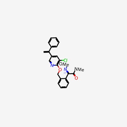 C=C(c1ccccc1)c1cnc(OCc2ccccc2/C(=N/OC)C(=O)NC)c(Cl)c1